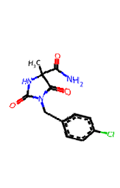 CC1(C(N)=O)NC(=O)N(Cc2ccc(Cl)cc2)C1=O